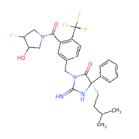 CC(C)CC[C@]1(c2ccccc2)NC(=N)N(Cc2ccc(C(F)(F)F)c(C(=O)N3CC(O)C(F)C3)c2)C1=O